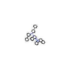 c1ccc(-c2ccc(N(c3cccc(-c4ccccc4)c3)c3ccc(-n4c5ccccc5c5c6ccccc6ccc54)c4ccccc34)cc2)cc1